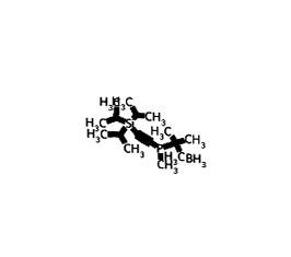 B.CC(C)[Si](C#CP(C)C(C)(C)C)(C(C)C)C(C)C